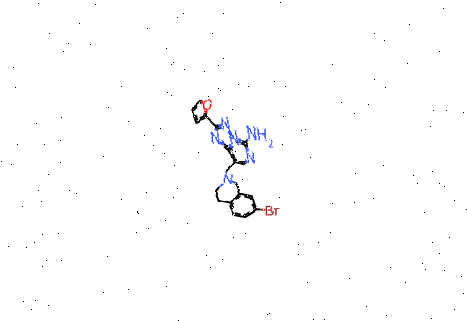 Nc1ncc(CN2CCc3ccc(Br)cc3C2)c2nc(-c3ccco3)nn12